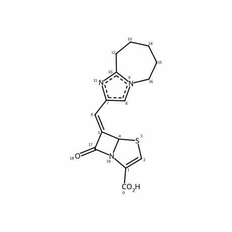 O=C(O)C1=CSC2/C(=C\c3cn4c(n3)CCCCC4)C(=O)N12